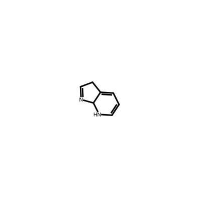 C1=CNC2N=CCC2=C1